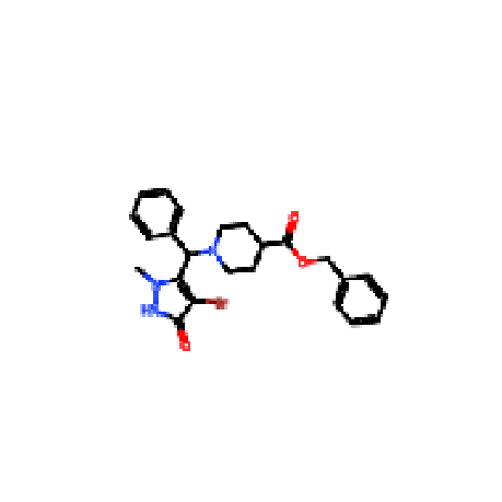 Cn1[nH]c(=O)c(Br)c1C(c1ccccc1)N1CCC(C(=O)OCc2ccccc2)CC1